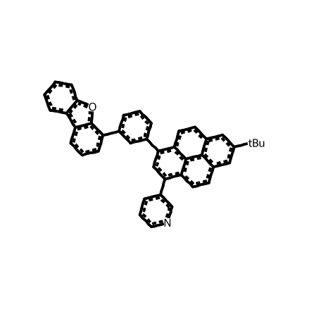 CC(C)(C)c1cc2ccc3c(-c4cccnc4)cc(-c4cccc(-c5cccc6c5oc5ccccc56)c4)c4ccc(c1)c2c34